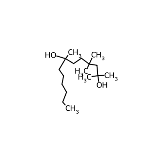 CCCCCCC(C)(O)CCC(C)(C)CC(C)(C)O